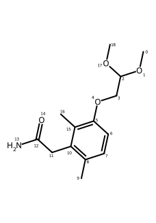 COC(COc1ccc(C)c(CC(N)=O)c1C)OC